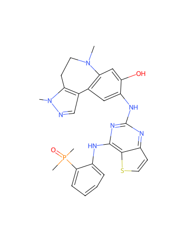 CN1CCc2c(cnn2C)-c2cc(Nc3nc(Nc4ccccc4P(C)(C)=O)c4sccc4n3)c(O)cc21